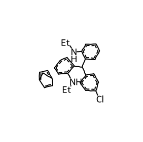 C1=CC2=CC=C1C2.CCNc1ccccc1C(c1ccc(Cl)cc1)c1ccccc1NCC